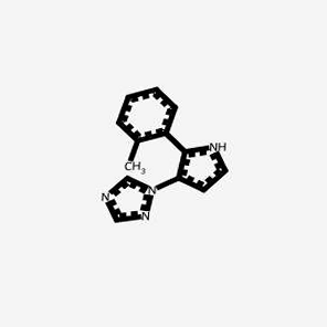 Cc1ccccc1-c1[nH]ccc1-n1cncn1